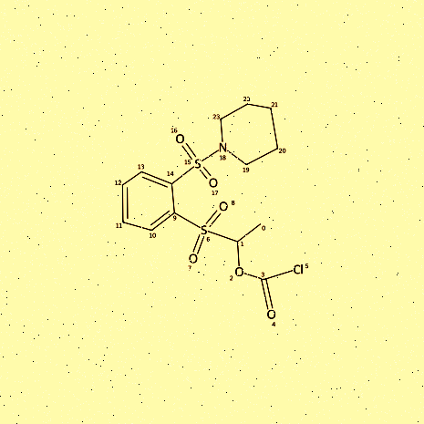 CC(OC(=O)Cl)S(=O)(=O)c1ccccc1S(=O)(=O)N1CCCCC1